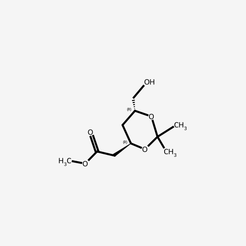 COC(=O)C[C@H]1C[C@H](CO)OC(C)(C)O1